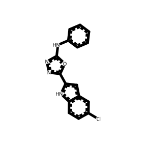 Clc1ccc2[nH]c(-c3nnc(Nc4ccccc4)o3)cc2c1